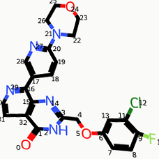 O=c1[nH]c(COc2ccc(F)c(Cl)c2)nc2c(-c3ccc(N4CCOCC4)nc3)nccc12